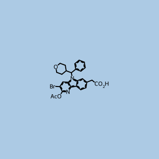 CC(=O)Oc1nc2c3ccc(CC(=O)O)cc3n(C(c3ccccc3)C3CCOCC3)c2cc1Br